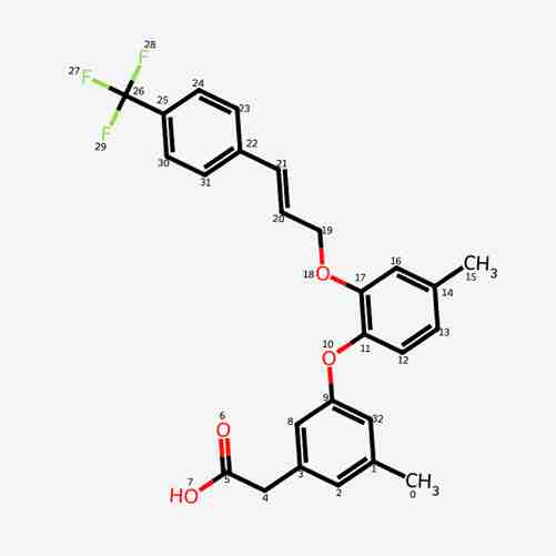 Cc1cc(CC(=O)O)cc(Oc2ccc(C)cc2OC/C=C/c2ccc(C(F)(F)F)cc2)c1